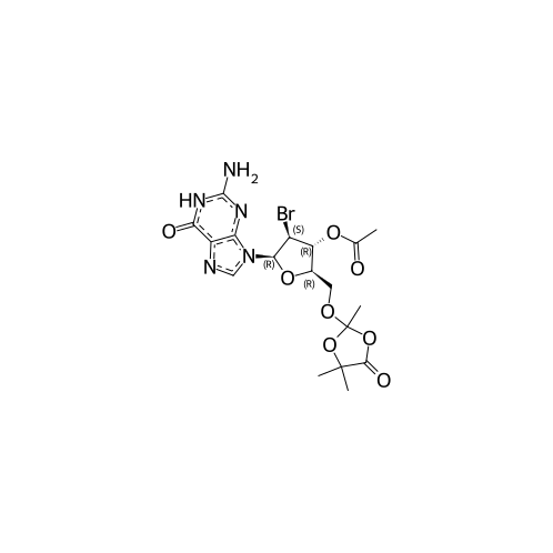 CC(=O)O[C@H]1[C@H](Br)[C@H](n2cnc3c(=O)[nH]c(N)nc32)O[C@@H]1COC1(C)OC(=O)C(C)(C)O1